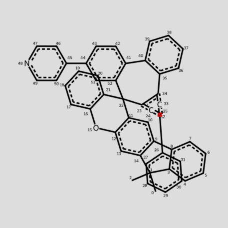 CC1(C)c2ccccc2-c2cc3c(cc21)Oc1ccccc1C31c2cc(-c3ccccc3)ccc2-c2ccccc2-c2ccc(-c3ccncc3)cc21